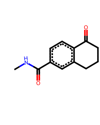 CNC(=O)c1ccc2c(c1)CCCC2=O